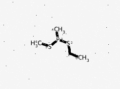 CCSP(C)SC